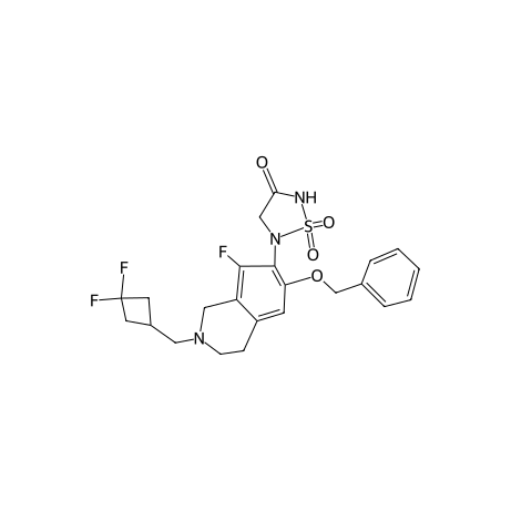 O=C1CN(c2c(OCc3ccccc3)cc3c(c2F)CN(CC2CC(F)(F)C2)CC3)S(=O)(=O)N1